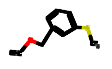 O=COCc1cccc(SC(F)(F)F)c1